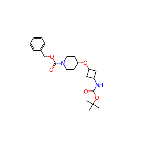 CC(C)(C)OC(=O)NC1CC(OC2CCN(C(=O)OCc3ccccc3)CC2)C1